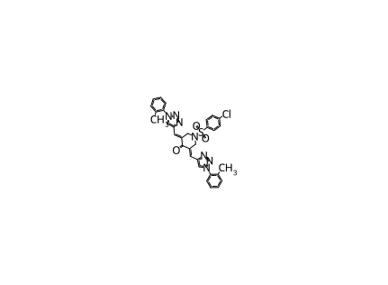 Cc1ccccc1-n1cc(C=C2CN(S(=O)(=O)c3ccc(Cl)cc3)CC(=Cc3cn(-c4ccccc4C)nn3)C2=O)nn1